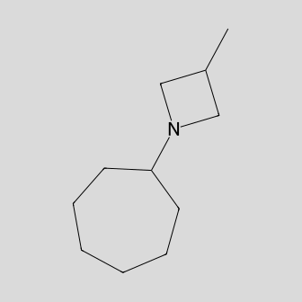 CC1CN(C2CCCCCC2)C1